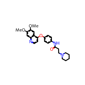 COc1cc2nccc(Oc3ccc(NC(=O)CCN4CCCCC4)cc3)c2cc1OC